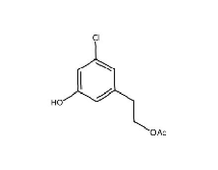 CC(=O)OCCc1cc(O)cc(Cl)c1